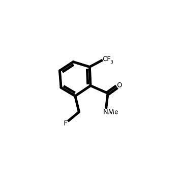 CNC(=O)c1c(CF)cccc1C(F)(F)F